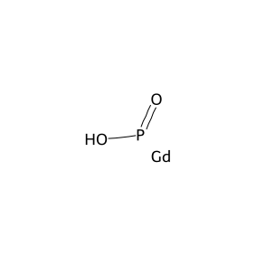 O=PO.[Gd]